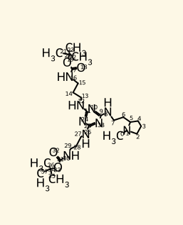 CN1CCCC1CCNc1nc(NCCCNC(=O)OC(C)(C)C)nc(NCCCNC(=O)OC(C)(C)C)n1